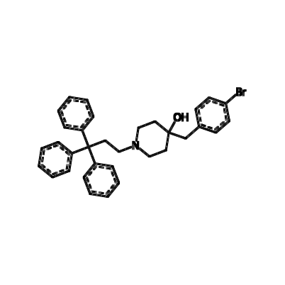 OC1(Cc2ccc(Br)cc2)CCN(CCC(c2ccccc2)(c2ccccc2)c2ccccc2)CC1